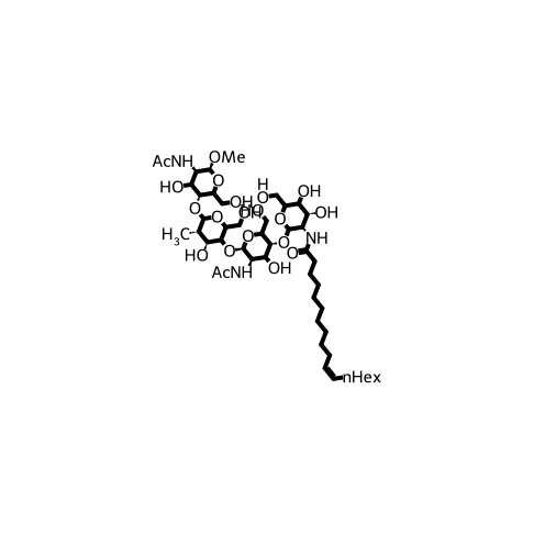 CCCCCC/C=C\CCCCCCCCCC(=O)N[C@@H]1C(O[C@H]2C(CO)O[C@H](OC3C(CO)OC(O[C@H]4C(CO)O[C@H](OC)[C@H](NC(C)=O)C4O)[C@@H](C)[C@H]3O)[C@H](NC(C)=O)C2O)OC(CO)C(O)[C@@H]1O